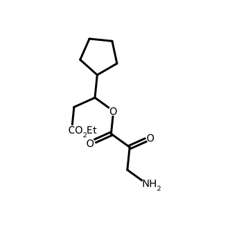 CCOC(=O)CC(OC(=O)C(=O)CN)C1CCCC1